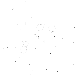 Cc1ccccc1-c1ccc(OC(F)(F)F)c(C(=O)NC(C)(CO)Cc2c[nH]c3ccccc23)c1